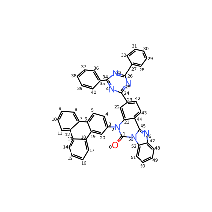 O=c1n(-c2ccc3c4ccccc4c4ccccc4c3c2)c2cc(-c3nc(-c4ccccc4)nc(-c4ccccc4)n3)ccc2c2nc3ccccc3n12